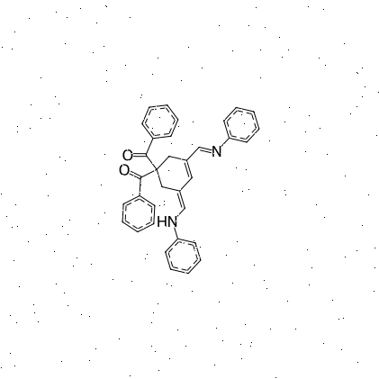 O=C(c1ccccc1)C1(C(=O)c2ccccc2)CC(C=Nc2ccccc2)=C/C(=C/Nc2ccccc2)C1